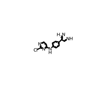 N=C/C(=C\N)c1ccc(Nc2ccnc(Cl)n2)cc1